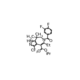 CCC1=C(C(=O)OC(C)C)c2c(C(F)(F)F)n[nH]c2C(C)(C)CN1C(=O)c1ccc(F)c(F)c1